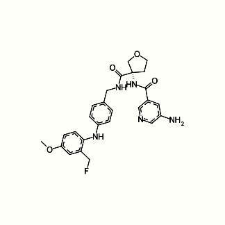 COc1ccc(Nc2ccc(CNC(=O)[C@]3(NC(=O)c4cncc(N)c4)CCOC3)cc2)c(CF)c1